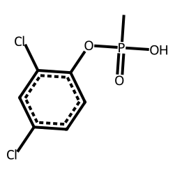 CP(=O)(O)Oc1ccc(Cl)cc1Cl